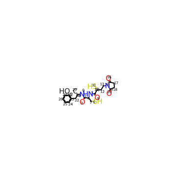 CN(C(=O)C(CS)NC(=O)[C@@H](S)CCN1C(=O)CCC1=O)[C@@H](Cc1ccccc1)C(=O)O